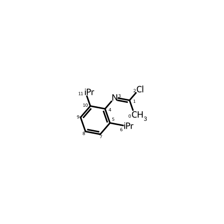 C/C(Cl)=N\c1c(C(C)C)cccc1C(C)C